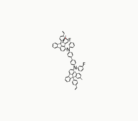 C=Cc1ccc(C2(c3cc(C)ccc3C)c3ccccc3-c3ccc(N(c4ccc(-c5ccc(N(c6cccc(F)c6)c6ccc7c8c6-c6ccc(C)cc6C8(c6ccc(C=C)cc6)c6ccccc6-7)cc5)cc4)c4cccc(F)c4)cc32)cc1